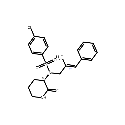 C/C(=C\c1ccccc1)CN([C@@H]1CCCNC1=O)S(=O)(=O)c1ccc(Cl)cc1